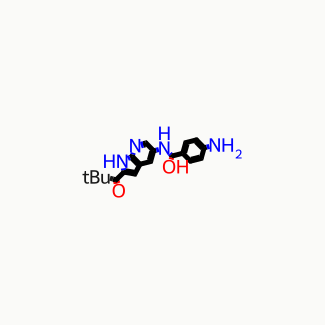 CC(C)(C)C(=O)c1cc2cc(NC(O)c3ccc(N)cc3)cnc2[nH]1